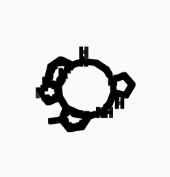 Cc1ccc2cc1-c1cnn3ccc(nc13)NCCN1CCC[C@H]1CN2